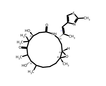 C/C(=C\c1csc(C)n1)[C@@H]1C[C@@H]2O[C@]2(C)CCCC(C)[C@H](O)C(C)C(=O)C(C)(C)[C@@H](O)CC(=O)N1